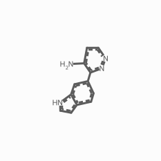 Nc1ccnnc1-c1ccc2cc[nH]c2c1